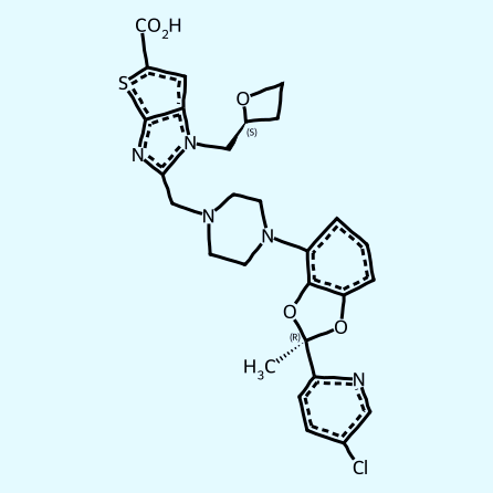 C[C@@]1(c2ccc(Cl)cn2)Oc2cccc(N3CCN(Cc4nc5sc(C(=O)O)cc5n4C[C@@H]4CCO4)CC3)c2O1